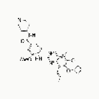 C/C=C/c1c(OC2CCC2)c(=O)n(C)c2cnc(Nc3ccc(C(=O)NC4CCN(C)CC4)cc3OC)nc12